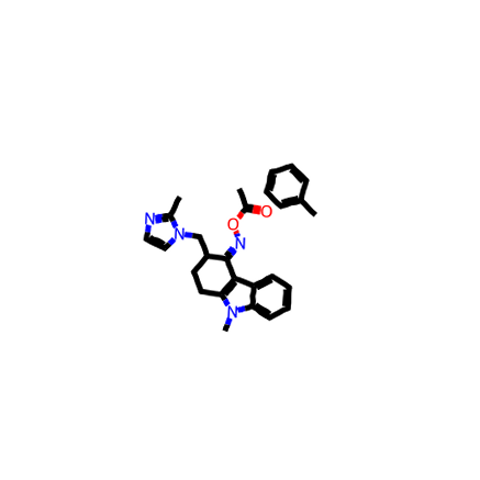 CC(=O)ON=C1c2c(n(C)c3ccccc23)CCC1Cn1ccnc1C.Cc1ccccc1